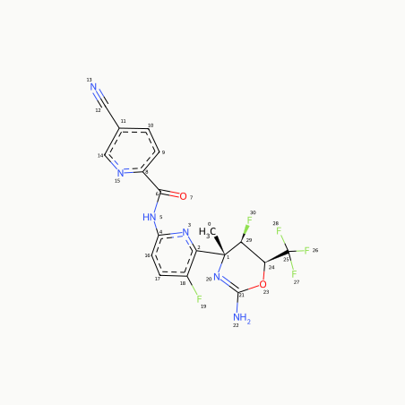 C[C@]1(c2nc(NC(=O)c3ccc(C#N)cn3)ccc2F)N=C(N)O[C@H](C(F)(F)F)[C@@H]1F